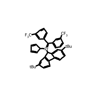 CC(C)(C)c1ccc2c(c1)[CH]([Zr](=[C](c1cccc(C(F)(F)F)c1)c1cccc(C(F)(F)F)c1)[CH]1C=CC=C1)c1cc(C(C)(C)C)ccc1-2